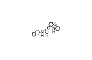 OC(CNC1CCc2ccccc2C1)COc1cccc2c1Nc1ccccc1S2